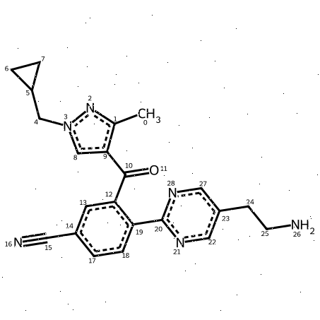 Cc1nn(CC2CC2)cc1C(=O)c1cc(C#N)ccc1-c1ncc(CCN)cn1